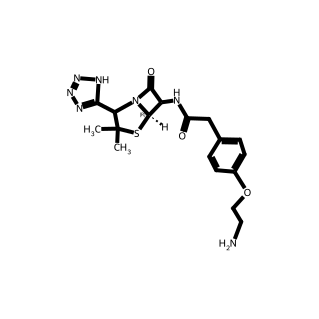 CC1(C)S[C@@H]2C(NC(=O)Cc3ccc(OCCN)cc3)C(=O)N2C1c1nnn[nH]1